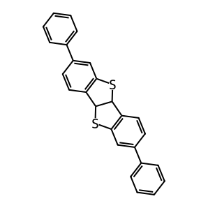 c1ccc(-c2ccc3c(c2)SC2c4ccc(-c5ccccc5)cc4SC32)cc1